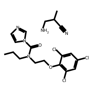 CC(C#N)CN.CCCN(CCOc1c(Cl)cc(Cl)cc1Cl)C(=O)n1ccnc1